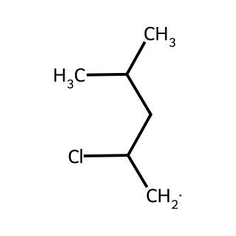 [CH2]C(Cl)CC(C)C